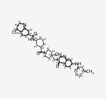 CN(C)CC(=O)Nc1ccc2c(=O)n(CC3(O)CCN(C(=O)C4CCCC(NC(=O)c5ccc6c(Cl)ccnc6c5)C4)CC3)cnc2c1